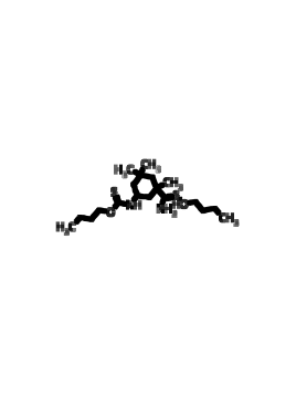 CCCCO[SH]=C(N)C1(C)CC(NC(=S)OCCCC)CC(C)(C)C1